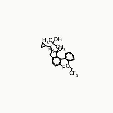 CC(C)(O)[C@@H](C1CC1)N1Cc2ccc(F)c(-c3ccccc3OCC(F)(F)F)c2C1=O